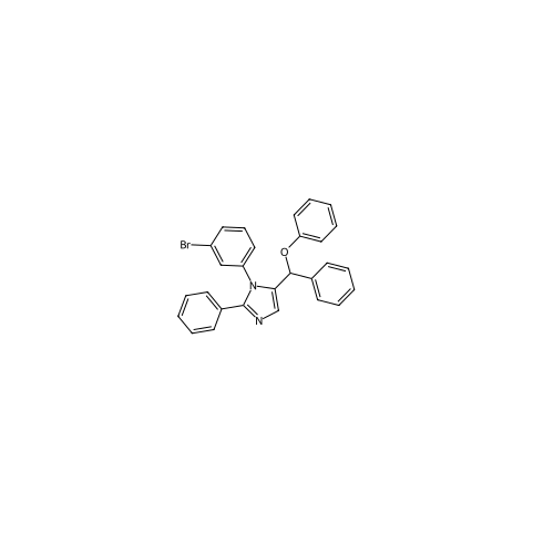 Brc1cccc(-n2c(C(Oc3ccccc3)c3ccccc3)cnc2-c2ccccc2)c1